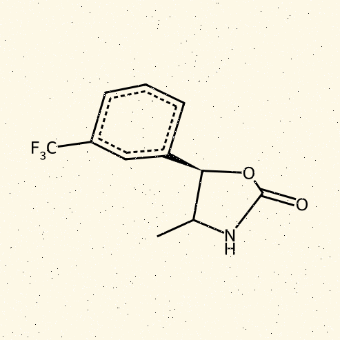 CC1NC(=O)O[C@@H]1c1cccc(C(F)(F)F)c1